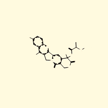 CCc1c2c(nc3ccc(O)cc13)-c1cc3c(c(=O)n1C2)COC(=O)C3(CC)OC(=O)C(C)NC=O